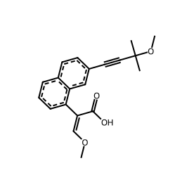 COC=C(C(=O)O)c1cccc2ccc(C#CC(C)(C)OC)cc12